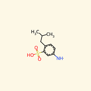 CC(C)Cc1ccc([NH])cc1S(=O)(=O)O